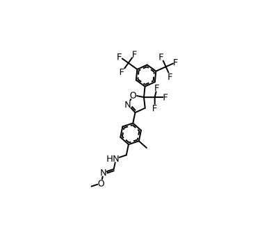 CO/N=C/NCc1ccc(C2=NOC(c3cc(C(F)(F)F)cc(C(F)(F)F)c3)(C(F)(F)F)C2)cc1C